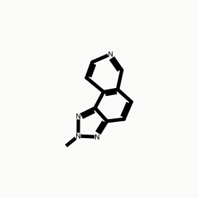 Cn1nc2ccc3cnccc3c2n1